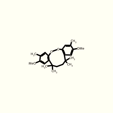 COc1cc2c(cc1C)OOc1cc(C)c(OC)cc1C(C)(C)CCC2(C)C